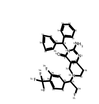 Nc1nc2c(c(=O)n1C(c1ccccc1)c1ccccc1)CN(C(CF)C1C=C(F)C(C(F)(F)F)=CC1)CC2